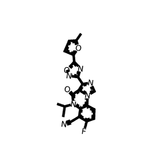 Cc1ccc(-c2nc(-c3ncn4c3c(=O)n(C(C)C)c3c(C#N)c(F)ccc34)no2)o1